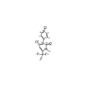 Cn1c(C(F)(F)F)cc(Cl)c(-c2ccc(Cl)cc2)c1=O